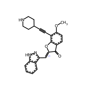 COc1ccc2c(c1C#CC1CCNCC1)O/C(=C\c1n[nH]c3ccccc13)C2=O